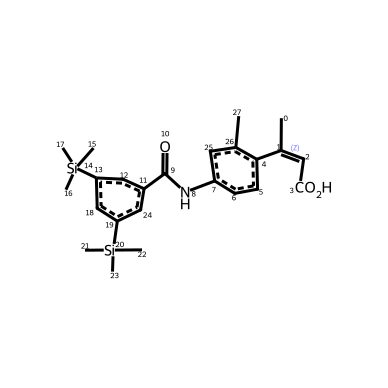 C/C(=C/C(=O)O)c1ccc(NC(=O)c2cc([Si](C)(C)C)cc([Si](C)(C)C)c2)cc1C